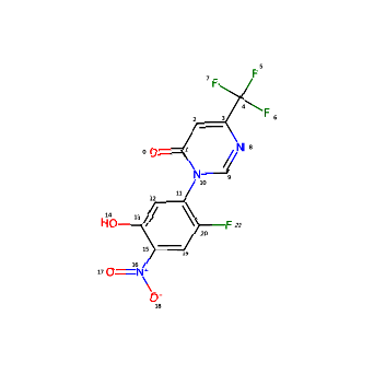 O=c1cc(C(F)(F)F)ncn1-c1cc(O)c([N+](=O)[O-])cc1F